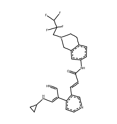 N=C/C(=C\NC1CC1)c1ccncc1/C=C/C(=O)Nc1ccc2c(c1)CN(CC(F)(F)C(F)F)CC2